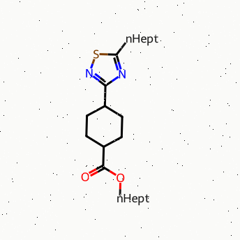 CCCCCCCOC(=O)C1CCC(c2nsc(CCCCCCC)n2)CC1